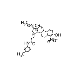 CON=C1C[C@@H](CCC(=O)Nc2ncc(C)s2)C2C3CCc4c(ccc(O)c4[N+](=O)[O-])C3CC[C@]12C